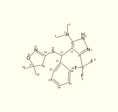 CN(C)c1[nH]nc(C(F)(F)F)c1C(SC1=NOC(C)(C)C1)c1ccccc1